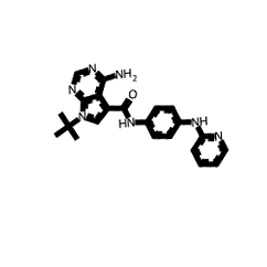 CC(C)(C)n1cc(C(=O)Nc2ccc(Nc3ccccn3)cc2)c2c(N)ncnc21